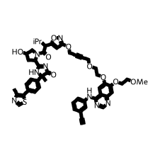 C#Cc1cccc(Nc2ncnc3cc(OCCOC)c(OCCOCC#CCOc4cc(C(C(=O)N5CC(O)CC5C5=NC(=O)C(C)(c6ccc(-c7scnc7C)cc6)N5)C(C)C)on4)cc23)c1